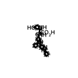 O=C(N[C@@H](Cc1c[nH]c2ccc(O)cc12)C(=O)O)c1ccc2c(c1)nc(-c1ccc3nc(-c4ccccc4)cnc3c1)n2C1CCCCC1